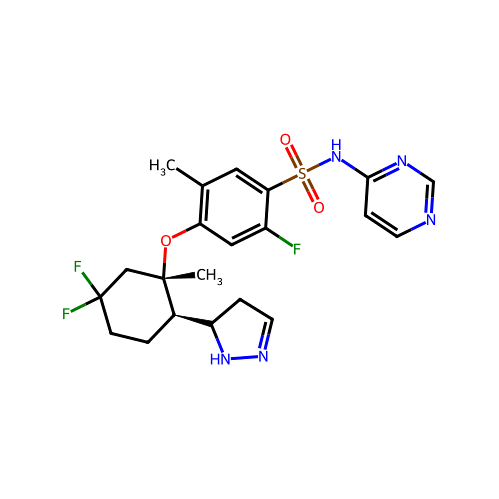 Cc1cc(S(=O)(=O)Nc2ccncn2)c(F)cc1O[C@@]1(C)CC(F)(F)CC[C@@H]1C1CC=NN1